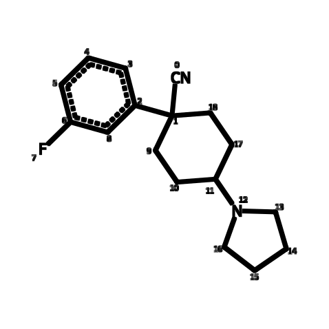 N#CC1(c2cccc(F)c2)CCC(N2CCCC2)CC1